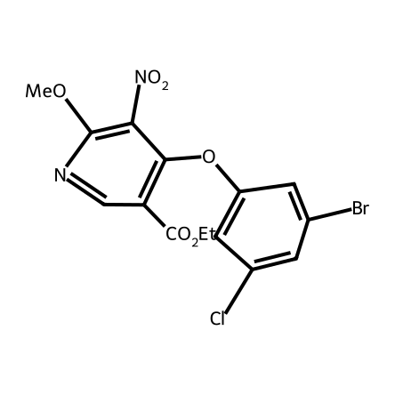 CCOC(=O)c1cnc(OC)c([N+](=O)[O-])c1Oc1cc(Cl)cc(Br)c1